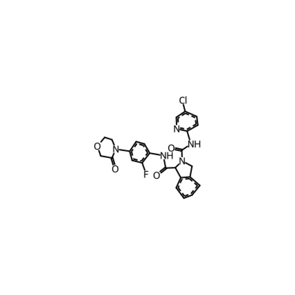 O=C(Nc1ccc(N2CCOCC2=O)cc1F)C1c2ccccc2CN1C(=O)Nc1ccc(Cl)cn1